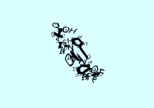 CC(C)(Sc1cnc(NC(=O)N(CC2CCCC2)c2ccc(Br)c(OC(F)(F)F)c2)s1)C(=O)O